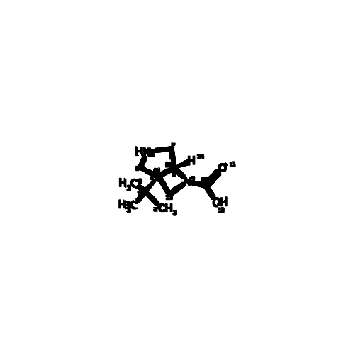 CC(C)(C)[C@@]12CNC[C@@H]1N(C(=O)O)C2